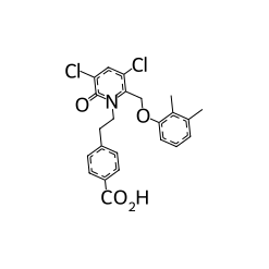 Cc1cccc(OCc2c(Cl)cc(Cl)c(=O)n2CCc2ccc(C(=O)O)cc2)c1C